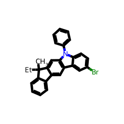 CCC1(C)c2ccccc2-c2cc3c4cc(Br)ccc4n(-c4ccccc4)c3cc21